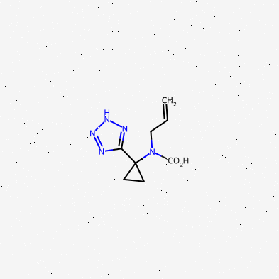 C=CCN(C(=O)O)C1(c2nn[nH]n2)CC1